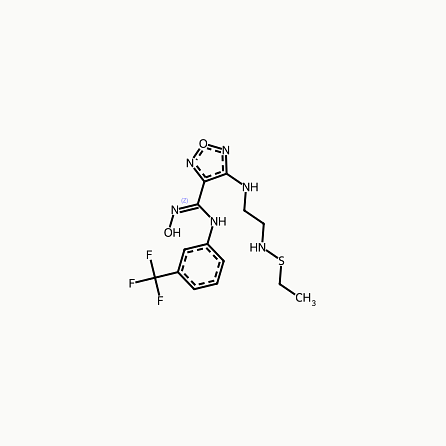 CCSNCCNc1nonc1/C(=N/O)Nc1cccc(C(F)(F)F)c1